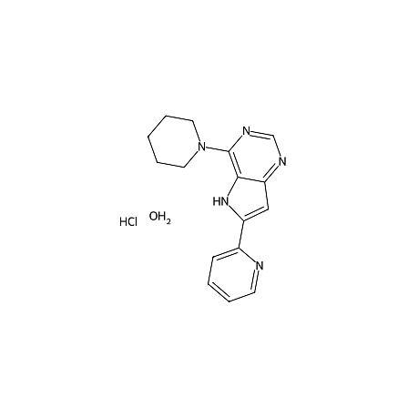 Cl.O.c1ccc(-c2cc3ncnc(N4CCCCC4)c3[nH]2)nc1